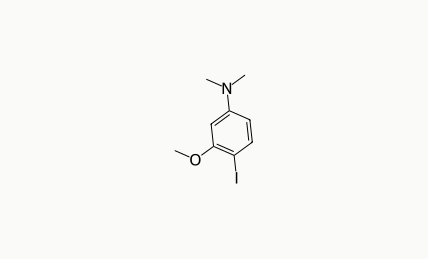 COc1cc(N(C)C)ccc1I